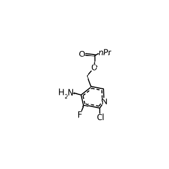 CCCC(=O)OCc1cnc(Cl)c(F)c1N